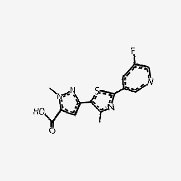 Cc1nc(-c2cncc(F)c2)sc1-c1cc(C(=O)O)n(C)n1